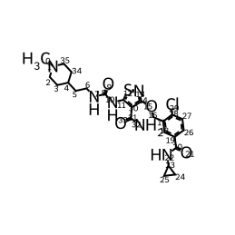 CN1CCC(CCNC(=O)Nc2snc(OCc3cc(C(=O)NC4CC4)ccc3Cl)c2C(N)=O)CC1